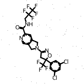 O=C(NCC(F)(F)C(F)(F)F)c1cc2c(cn1)CN(C1=NOC(c3cc(Cl)cc(Cl)c3)(C(F)(F)F)C1)C2